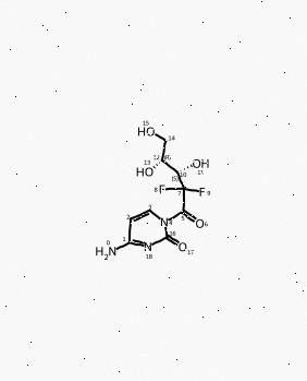 Nc1ccn(C(=O)C(F)(F)[C@@H](O)[C@H](O)CO)c(=O)n1